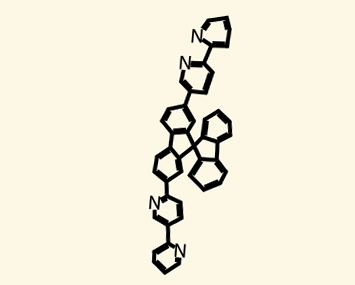 c1ccc(-c2ccc(-c3ccc4c(c3)C3(c5ccccc5-c5ccccc53)c3cc(-c5ccc(-c6ccccn6)nc5)ccc3-4)nc2)nc1